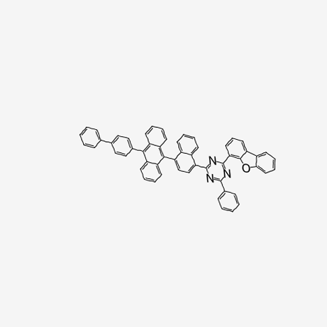 c1ccc(-c2ccc(-c3c4ccccc4c(-c4ccc(-c5nc(-c6ccccc6)nc(-c6cccc7c6oc6ccccc67)n5)c5ccccc45)c4ccccc34)cc2)cc1